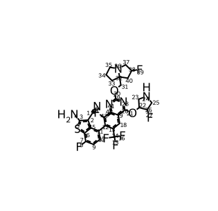 N#Cc1c(N)sc2c(F)ccc(-c3c(C(F)(F)F)cc4c(OC5CNCC5F)nc(OCC56CCCN5CC(F)C6)nc4c3F)c12